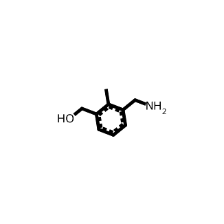 Cc1c(CN)cccc1CO